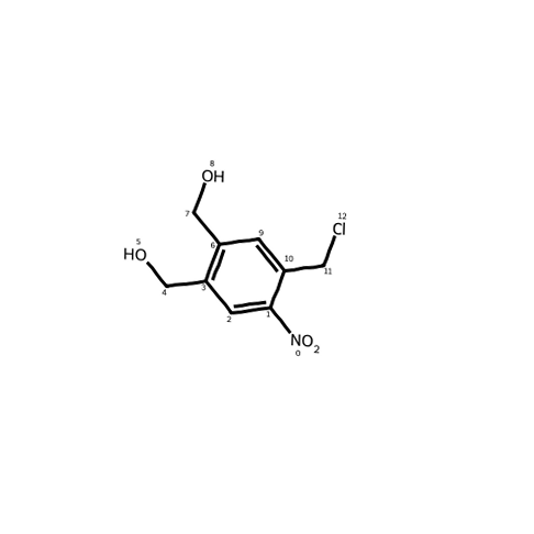 O=[N+]([O-])c1cc(CO)c(CO)cc1CCl